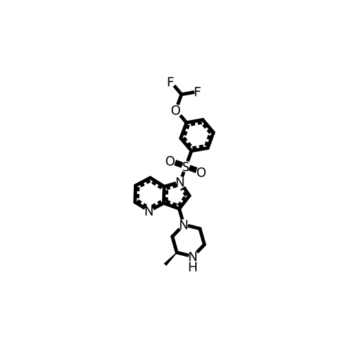 C[C@H]1CN(c2cn(S(=O)(=O)c3cccc(OC(F)F)c3)c3cccnc23)CCN1